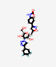 O=c1[nH]c2ccc(C3=NOC(C[C@H]4O[C@H](CO)[C@H](O)[C@H](n5cc(-c6cc(F)c(F)c(F)c6)nn5)[C@H]4O)C3)cc2o1